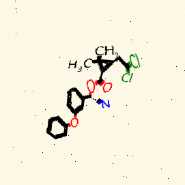 CC1(C)[C@H](C(=O)O[C@H](C#N)c2cccc(Oc3ccccc3)c2)[C@@H]1CC(Cl)Cl